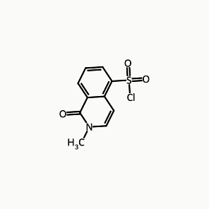 Cn1ccc2c(S(=O)(=O)Cl)cccc2c1=O